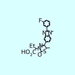 CCC(C(=O)O)N1N=C(c2ccc3c(c2)nc(-c2cccc(F)c2)n3C)C(C)SC1=O